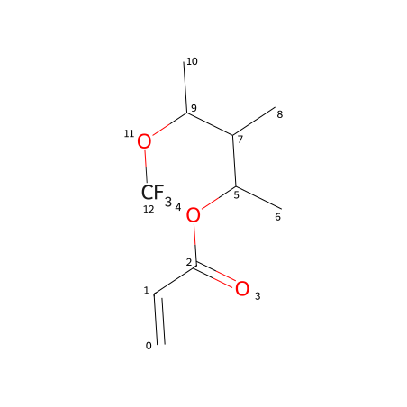 C=CC(=O)OC(C)C(C)C(C)OC(F)(F)F